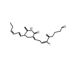 C=C(CCCC=O)C(C)=CC/C=C1/CC(C=C/C=C\CC)C(=C)NC1=O